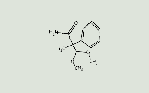 COC(OC)C(C)(C(N)=O)c1ccccc1